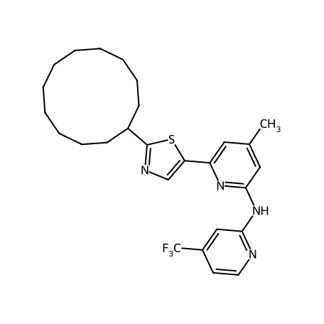 Cc1cc(Nc2cc(C(F)(F)F)ccn2)nc(-c2cnc(C3CCCCCCCCCCC3)s2)c1